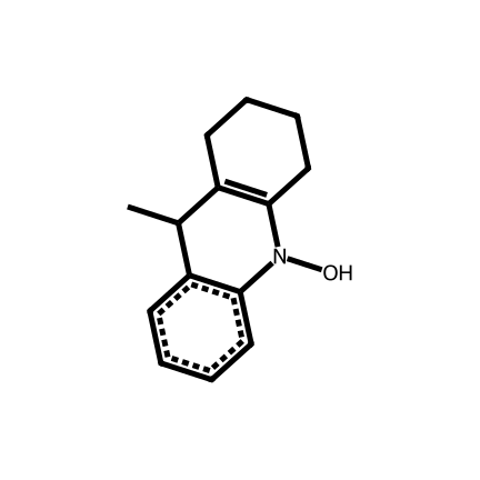 CC1C2=C(CCCC2)N(O)c2ccccc21